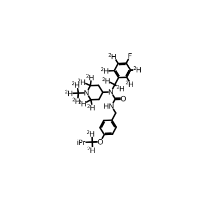 [2H]c1c([2H])c(C([2H])([2H])N(C(=O)NCc2ccc(OC([2H])([2H])C(C)C)cc2)C2CC([2H])([2H])N(C([2H])([2H])[2H])C([2H])([2H])C2)c([2H])c([2H])c1F